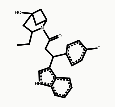 CCC1CC2(O)CC(C2)N1C(=O)CC(c1ccc(F)cc1)c1c[nH]c2ccccc12